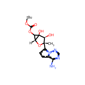 CC(C)(C)OC(=O)OC1[C@H]2O[C@@](C)(c3ccc4c(N)ncnn34)[C@H](O)[C@@]12O